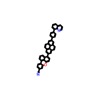 N#Cc1ccc2c(c1)Oc1ccc(-c3cc4ccc5cc(-c6ccc(-c7cccc8cccnc78)cc6)cc6ccc(c3)c4c56)c3cccc-2c13